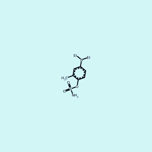 CCN(CC)c1ccc(OS(N)(=O)=O)c(C)c1